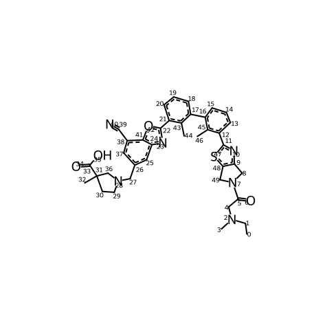 CCN(C)CC(=O)N1Cc2nc(-c3cccc(-c4cccc(-c5nc6cc(CN7CCC(C)(C(=O)O)C7)cc(C#N)c6o5)c4C)c3C)sc2C1